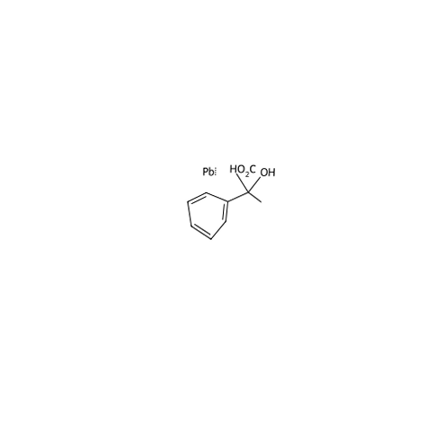 CC(O)(C(=O)O)c1ccccc1.[Pb]